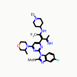 CCN1CCC(N/C(=C(\C(C)=N)c2cc(N3CCOCC3C)nc(-n3c(NC)nc4cc(F)ccc43)n2)C(F)(F)F)CC1